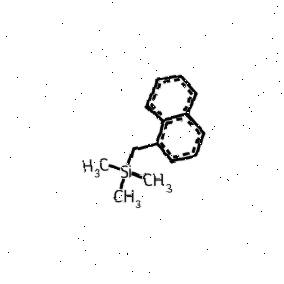 C[Si](C)(C)Cc1cccc2ccccc12